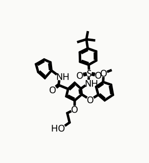 COc1cccc(Oc2c(NS(=O)(=O)c3ccc(C(C)(C)C)cc3)cc(C(=O)Nc3ccccc3)cc2OCCO)c1